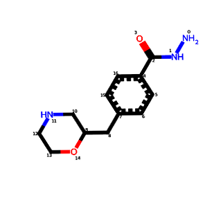 NNC(=O)c1ccc(CC2CNCCO2)cc1